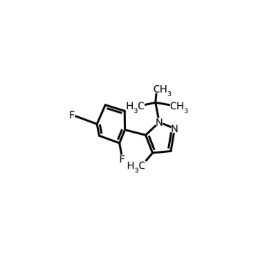 Cc1cnn(C(C)(C)C)c1-c1ccc(F)cc1F